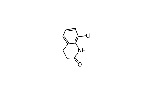 O=C1CCc2cccc(Cl)c2N1